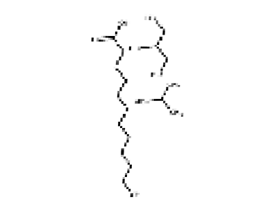 CC(C)O.CCCCCCCCCCCC(=O)O.OCC(O)CO